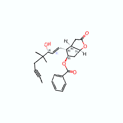 CC#CCC(C)(C)[C@H](O)/C=C/[C@@H]1[C@H]2CC(=O)O[C@H]2C[C@H]1OC(=O)c1ccccc1